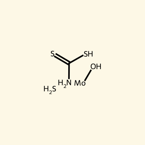 NC(=S)S.S.[OH][Mo]